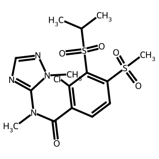 CC(C)S(=O)(=O)c1c(S(C)(=O)=O)ccc(C(=O)N(C)c2ncnn2C)c1Cl